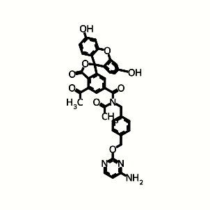 CC(=O)c1cc(C(=O)N(Cc2ccc(COc3nccc(N)n3)cc2)C(C)=O)cc2c1C(=O)OC21c2ccc(O)cc2Oc2cc(O)ccc21